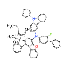 C=C/C(=C\C=C/C)C1(C(C)(C)CCCCC)c2ccccc2-c2c1cc(N(c1ccc(-c3ccccc3)c(F)c1)c1ccc3c(c1)c1ccccc1n3-c1ccccc1)c1oc3ccccc3c21